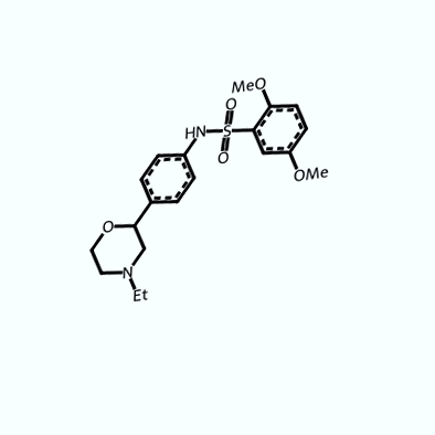 CCN1CCOC(c2ccc(NS(=O)(=O)c3cc(OC)ccc3OC)cc2)C1